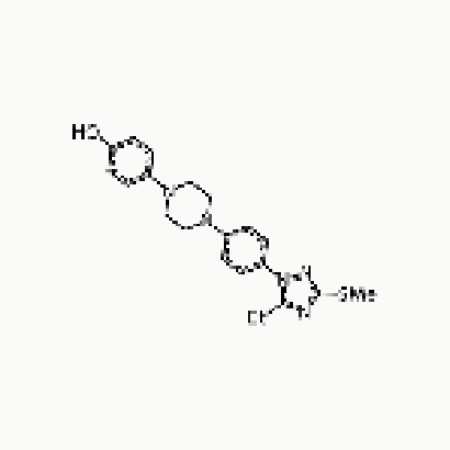 CCc1nc(SC)nn1-c1ccc(N2CCN(c3ccc(O)cc3)CC2)cc1